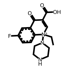 CC[N+]1(N2CCNCC2)C=C(C(=O)O)C(=O)c2cc(F)ccc21